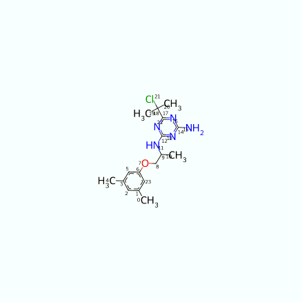 Cc1cc(C)cc(OCC(C)Nc2nc(N)nc(C(C)(C)Cl)n2)c1